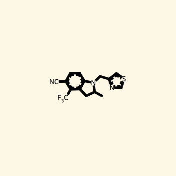 CC1Cc2c(ccc(C#N)c2C(F)(F)F)N1Cc1cscn1